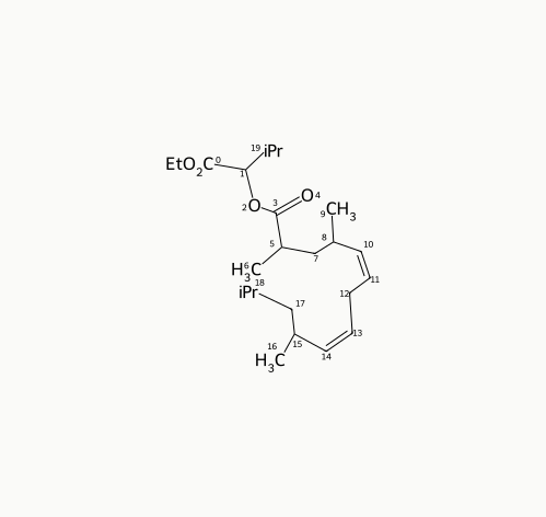 CCOC(=O)C(OC(=O)C(C)CC(C)/C=C\C/C=C\C(C)CC(C)C)C(C)C